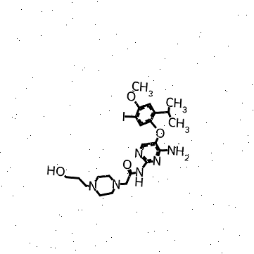 COc1cc(C(C)C)c(Oc2cnc(NC(=O)CN3CCN(CCCO)CC3)nc2N)cc1I